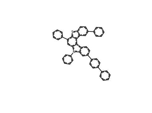 c1ccc(-c2ccc(-c3ccc4c5c6c(sc7ccc(-c8ccccc8)cc76)c(-c6ccccc6)cc5n(-c5ccccc5)c4c3)cc2)cc1